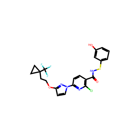 O=C(NSc1cccc(O)c1)c1ccc(-n2ccc(OCCC3(C(F)(F)F)CC3)n2)nc1Cl